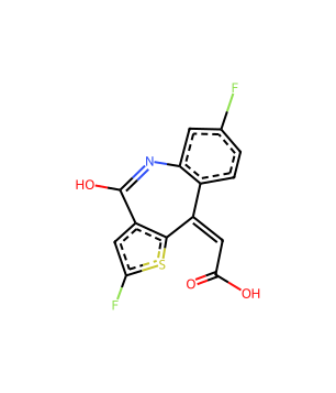 O=C(O)C=C1c2ccc(F)cc2N=C(O)c2cc(F)sc21